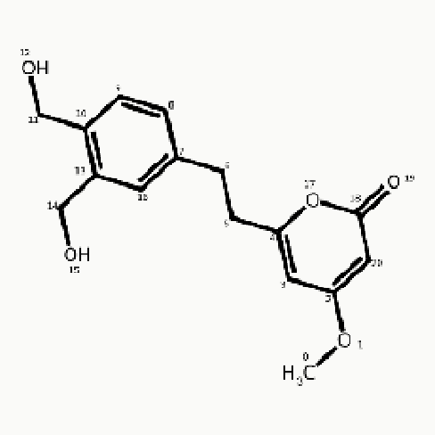 COc1cc(CCc2ccc(CO)c(CO)c2)oc(=O)c1